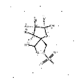 CC(=O)C(O)[C@@]1(COS(C)(=O)=O)O[C@@](O)(C(C)=O)[C@@](O)(C(C)=O)[C@@]1(O)C(C)=O